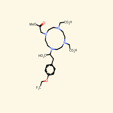 COC(=O)CN1CCN(CC(=O)O)CCN(CC(=O)O)CCN(C(Cc2ccc(OCC(F)(F)F)cc2)C(=O)O)CC1